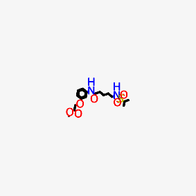 COC(=O)COc1cccc(NC(=O)CCCCNS(=O)(=O)C(C)C)c1